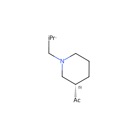 C[C](C)CN1CCC[C@H](C(C)=O)C1